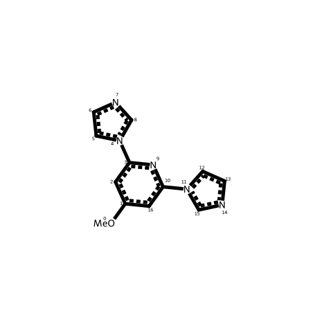 COc1cc(-n2ccnc2)nc(-n2ccnc2)c1